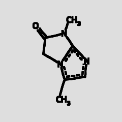 Cc1cnc2n1CC(=O)N2C